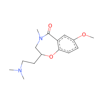 COc1ccc2c(c1)C(=O)N(C)CC(CCN(C)C)O2